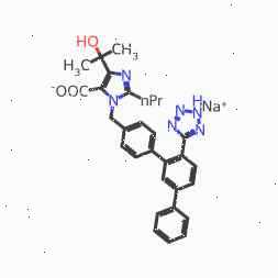 CCCc1nc(C(C)(C)O)c(C(=O)[O-])n1Cc1ccc(-c2cc(-c3ccccc3)ccc2-c2nn[nH]n2)cc1.[Na+]